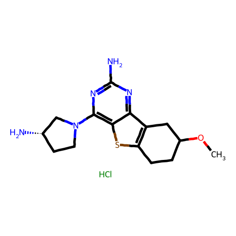 COC1CCc2sc3c(N4CC[C@H](N)C4)nc(N)nc3c2C1.Cl